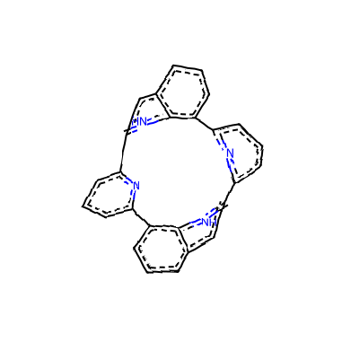 c1cc2nc(c1)-c1cccc3cc([nH]c13)-c1cccc(n1)-c1cccc3cc-2[nH]c13